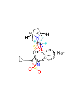 Cc1cc(S(=O)[O-])cc2sc(N3[C@@H]4CC[C@H]3CC(OCc3c(-c5ccccc5OC(F)(F)F)noc3C3CC3)C4)nc12.[Na+]